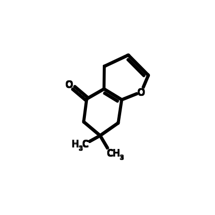 CC1(C)CC(=O)C2=C(C1)OC=CC2